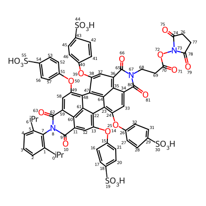 CC(C)c1cccc(C(C)C)c1N1C(=O)c2cc(Oc3ccc(S(=O)(=O)O)cc3)c3c4c(Oc5ccc(S(=O)(=O)O)cc5)cc5c6c(cc(Oc7ccc(S(=O)(=O)O)cc7)c(c7c(Oc8ccc(S(=O)(=O)O)cc8)cc(c2c37)C1=O)c64)C(=O)N(CCC(=O)ON1C(=O)CCC1=O)C5=O